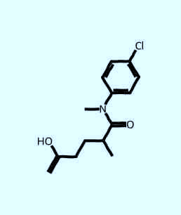 C=C(O)CCC(C)C(=O)N(C)c1ccc(Cl)cc1